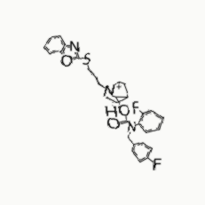 O=C(O[C@H]1C[N+]2(CCCSc3nc4ccccc4o3)CCC1CC2)N(Cc1ccc(F)cc1)c1ccccc1F